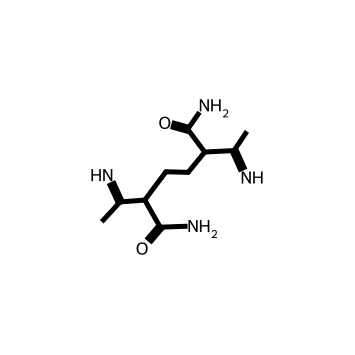 CC(=N)C(CCC(C(C)=N)C(N)=O)C(N)=O